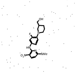 CNc1ccc([N+](=O)[O-])c(Nc2ccc(N3CCCC(CO)C3)c(F)c2)n1